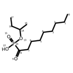 CCCCCCCCC(=O)P(=O)(O)OC(C)CC